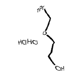 CCCCOCCO.Cl.Cl